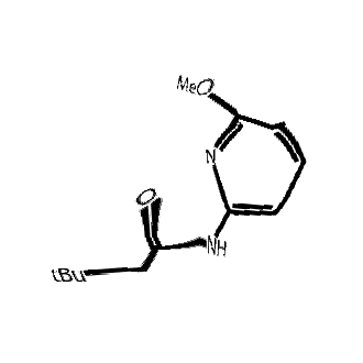 COc1cccc(NC(=O)CC(C)(C)C)n1